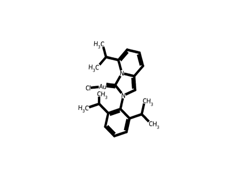 CC(C)c1cccc(C(C)C)c1-n1cc2cccc(C(C)C)n2[c]1=[Au][Cl]